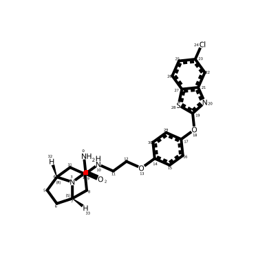 NC(=O)N1[C@@H]2CC[C@H]1CC(NCCOc1ccc(Oc3nc4cc(Cl)ccc4s3)cc1)C2